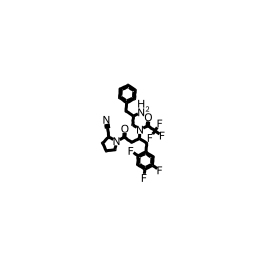 N#CC1CCCN1C(=O)CC(Cc1cc(F)c(F)cc1F)N(CC(N)Cc1ccccc1)C(=O)C(F)(F)F